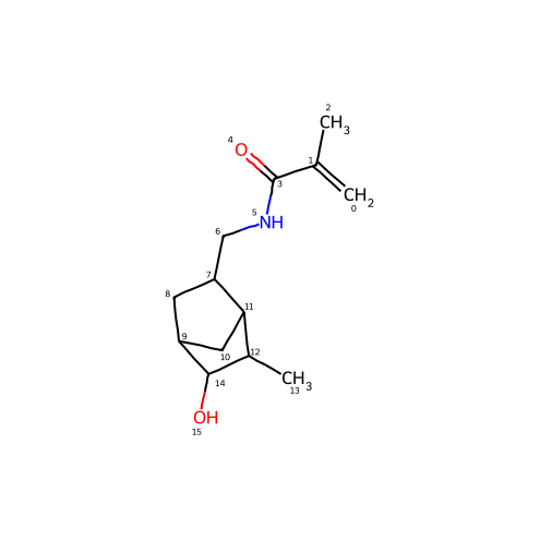 C=C(C)C(=O)NCC1CC2CC1C(C)C2O